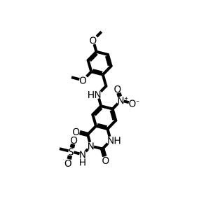 COc1ccc(CNc2cc3c(=O)n(NS(C)(=O)=O)c(=O)[nH]c3cc2[N+](=O)[O-])c(OC)c1